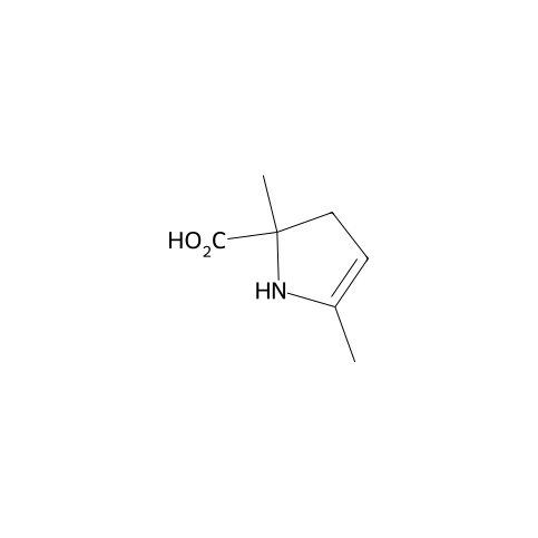 CC1=CCC(C)(C(=O)O)N1